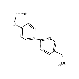 CCCCCCCOc1ccc(-c2ncc(C[C@@H](C)CC)cn2)cc1